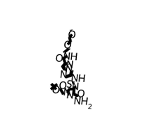 COCCOCCNC(=O)c1cc2ncc(NC3=NC4C(C(N)=O)=NN(CC(=O)OC(C)(C)C)C4S3)cn2n1